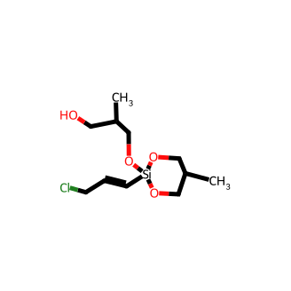 CC(CO)CO[Si]1(C=CCCl)OCC(C)CO1